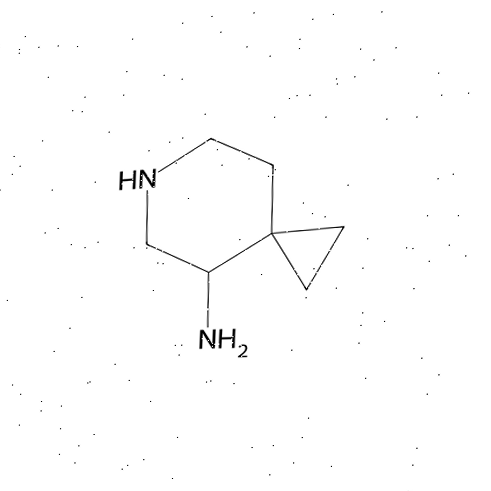 NC1CNCCC12CC2